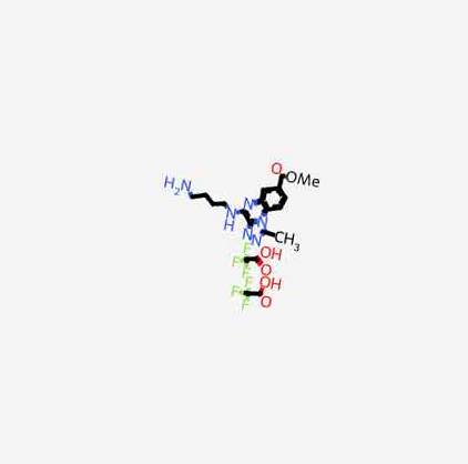 COC(=O)c1ccc2c(c1)nc(NCCCCN)c1nnc(C)n12.O=C(O)C(F)(F)F.O=C(O)C(F)(F)F